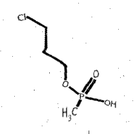 CP(=O)(O)OCCCCl